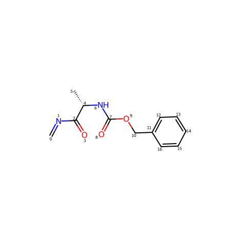 C=NC(=O)[C@H](C)NC(=O)OCc1ccccc1